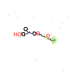 [O-][S+](CCCCCOc1ccc(C/C=C(\Cc2ccc(O)cc2)c2ccccc2)cc1)CCCC(F)(F)C(F)(F)F